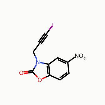 O=c1oc2ccc([N+](=O)[O-])cc2n1CC#CI